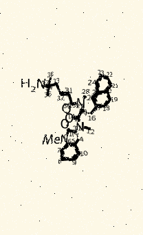 CNC(=O)[C@@H](Cc1ccccc1)N(C)C(=O)[C@@H](Cc1ccc2ccccc2c1)N(C)C(=O)C=CCC(C)(C)N